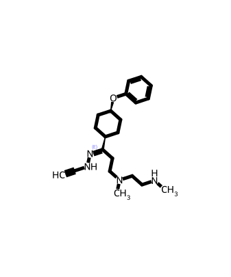 C#CN/N=C(\CCN(C)CCNC)[C@H]1CC[C@@H](Oc2ccccc2)CC1